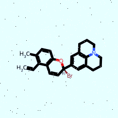 C=Cc1c(C)ccc2c1C=C[C@@](Br)(c1cc3c4c(c1)CCCN4CCC3)O2